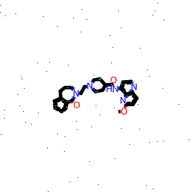 COc1ccc2nccc(NC(=O)C3CCN(CCN4CCCc5ccccc5C4=O)CC3)c2n1